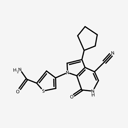 N#Cc1c[nH]c(=O)c2c1c(C1CCCC1)cn2-c1csc(C(N)=O)c1